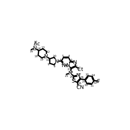 CCc1nc2ccc(N3CCC(N4CCC(N(C)C(C)=O)CC4)C3)nn2c1N(C)c1nc(-c2ccc(F)cc2)c(C#N)s1